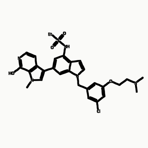 CCS(=O)(=O)Nc1cc(-c2cn(C)c3c(O)nccc23)cc2c1ccn2Cc1cc(Cl)cc(OCCN(C)C)c1